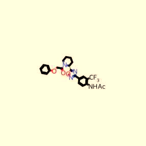 CC(=O)Nc1ccc(-c2noc([C@H]3CCCCN3C(=O)COc3ccccc3)n2)cc1C(F)(F)F